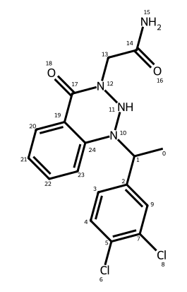 CC(c1ccc(Cl)c(Cl)c1)N1NN(CC(N)=O)C(=O)c2ccccc21